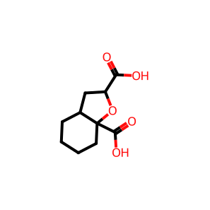 O=C(O)C1CC2CCCCC2(C(=O)O)O1